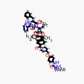 CNNC(=O)Nc1ccc(OCC2CCN(C(=O)c3ccc(C4(C)OB([C@H](CC(C)C)NC(=O)[C@H](Cc5ccccc5)NC(=O)c5cnccn5)OC4(C)C)cc3)CC2)cc1